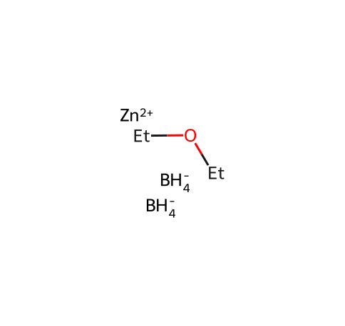 CCOCC.[BH4-].[BH4-].[Zn+2]